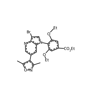 CCOC(=O)c1cc(OCC)c(-n2cc(Br)c3ncc(-c4c(C)noc4C)cc32)c(OCC)c1